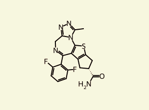 Cc1nnc2n1-c1sc3c(c1C(c1c(F)cccc1F)=NC2)C[C@@H](C(N)=O)C3